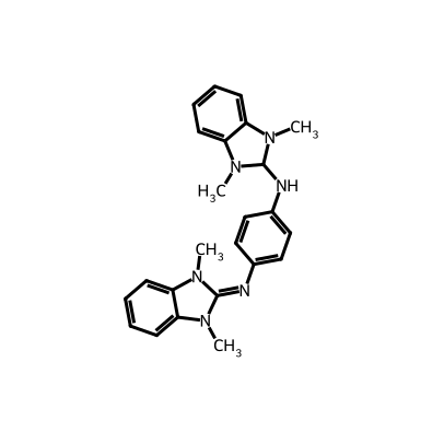 CN1c2ccccc2N(C)C1Nc1ccc(N=c2n(C)c3ccccc3n2C)cc1